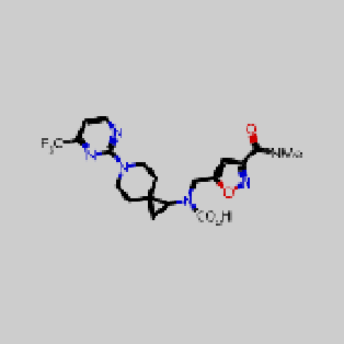 CNC(=O)c1cc(CN(C(=O)O)C2CC23CCN(c2nccc(C(F)(F)F)n2)CC3)on1